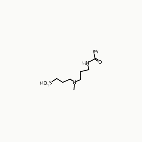 CC(C)C(=O)NCCCN(C)CCCS(=O)(=O)O